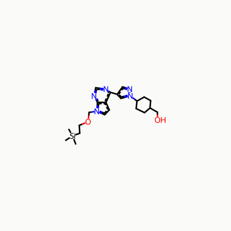 C[Si](C)(C)CCOCn1ccc2c(-c3cnn(C4CCC(CO)CC4)c3)ncnc21